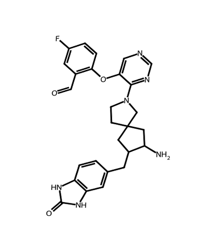 NC1CC2(CCN(c3ncncc3Oc3ccc(F)cc3C=O)C2)CC1Cc1ccc2[nH]c(=O)[nH]c2c1